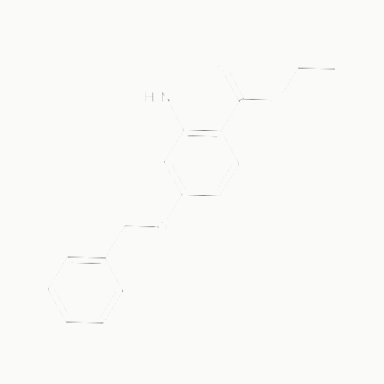 CCOC(=O)c1ccc(OCc2ccccc2)cc1N